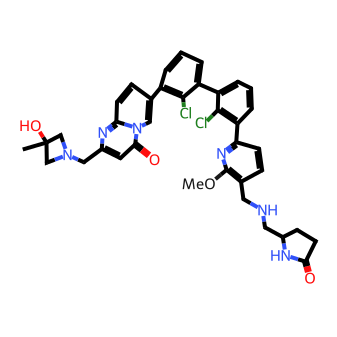 COc1nc(-c2cccc(-c3cccc(-c4ccc5nc(CN6CC(C)(O)C6)cc(=O)n5c4)c3Cl)c2Cl)ccc1CNCC1CCC(=O)N1